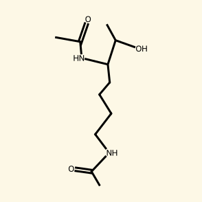 CC(=O)NCCCCC(NC(C)=O)C(C)O